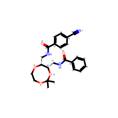 CC1(C)OCCO[C@H](CNC(=O)c2ccc(C#N)cc2)[C@H](CNC(=O)c2ccccc2)O1